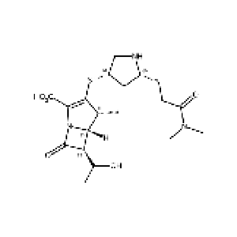 CC(O)[C@H]1C(=O)N2C(C(=O)O)=C(S[C@@H]3CN[C@H](CCC(=O)N(C)C)C3)[C@H](C)[C@H]12